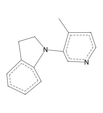 Cc1ccncc1N1CCc2ccccc21